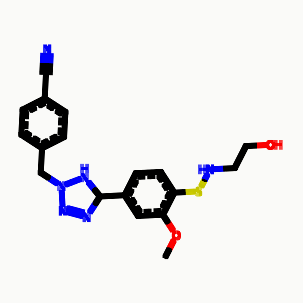 COc1cc(C2N=NN(Cc3ccc(C#N)cc3)N2)ccc1SNCCO